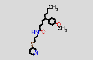 CCCCC(=CC=CC(=O)NCCCSc1cccnc1)c1ccc(OC)cc1